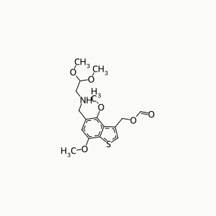 COc1cc(CNCC(OC)OC)c(OC)c2c(COC=O)csc12